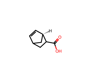 O=C(O)C1CC2C=C[C@@H]1C2